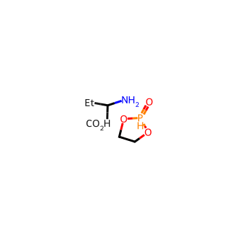 CCC(N)C(=O)O.O=[PH]1OCCO1